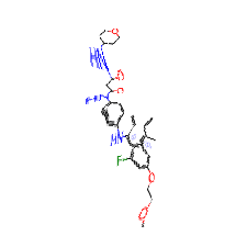 C=C/C(C)=c1/cc(OCCOC)cc(F)/c1=C(/C=C)Nc1ccc(NC(=O)CC(=O)NC2CCOCC2)cc1